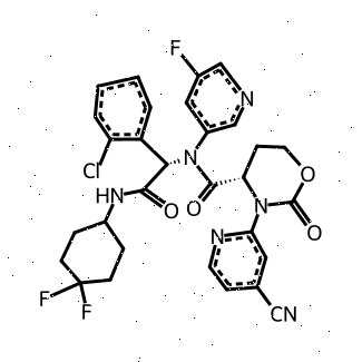 N#Cc1ccnc(N2C(=O)OCC[C@H]2C(=O)N(c2cncc(F)c2)[C@H](C(=O)NC2CCC(F)(F)CC2)c2ccccc2Cl)c1